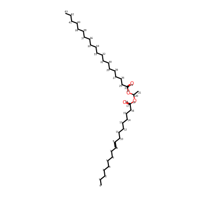 CCCCCCCCC=CCCCCCCCC(=O)OC(C)OC(=O)CCCCCCCCCCCCCCCCCCC